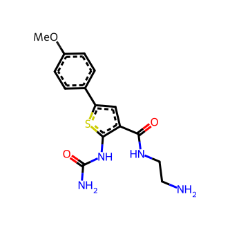 COc1ccc(-c2cc(C(=O)NCCN)c(NC(N)=O)s2)cc1